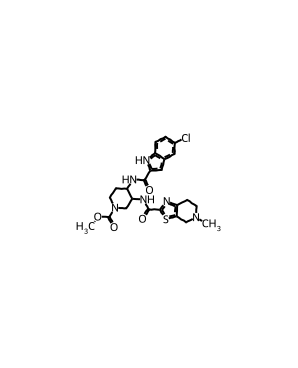 COC(=O)N1CCC(NC(=O)c2cc3cc(Cl)ccc3[nH]2)C(NC(=O)c2nc3c(s2)CN(C)CC3)C1